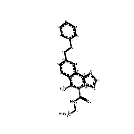 CCOC(=O)CNC(=O)c1c(O)c2ccc(CCc3ccccc3)cc2c2ncnn12